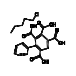 CCCCCCl.O=C(O)c1cc(C(=O)O)c(-c2ccccc2)c(C(=O)O)c1C(=O)O